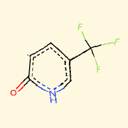 O=c1[c]cc(C(F)(F)F)c[nH]1